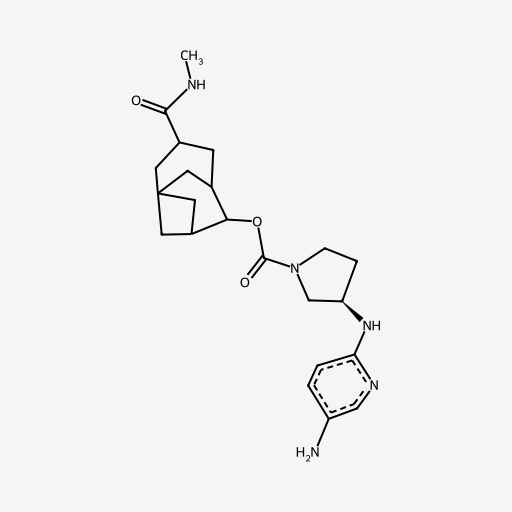 CNC(=O)C1CC2CC3(C1)CC(C3)C2OC(=O)N1CC[C@@H](Nc2ccc(N)cn2)C1